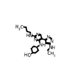 CCCCNc1ncc(-c2cc(NCC)ncn2)c(NC2CCC(O)CC2)n1